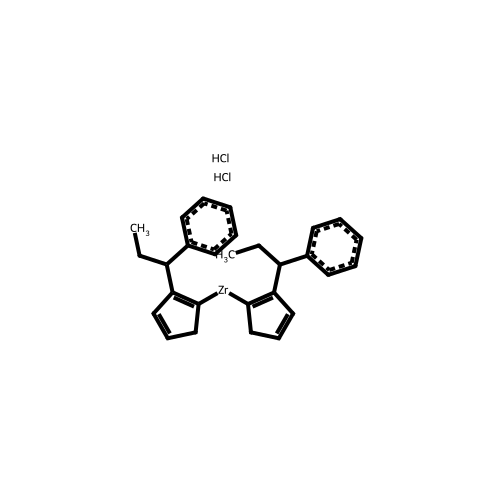 CCC(C1=[C]([Zr][C]2=C(C(CC)c3ccccc3)C=CC2)CC=C1)c1ccccc1.Cl.Cl